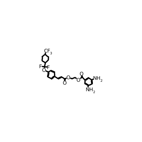 Nc1cc(N)cc(C(=O)OCCOC(=O)C=Cc2ccc(OC(F)(F)C3CCC(C(F)(F)F)CC3)cc2)c1